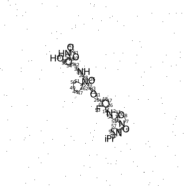 CC(C)c1nc(C(=O)N2CCOC3(CCN(Cc4cccc(CCOCCC(=O)N(CCNCCc5ccc(O)c6c5OCC(=O)N6)C5CCCCCC5)c4F)CC3)C2)cs1